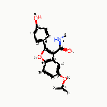 CNC(=O)c1c(-c2ccc(O)cc2)oc2ccc(OC(C)C)cc12